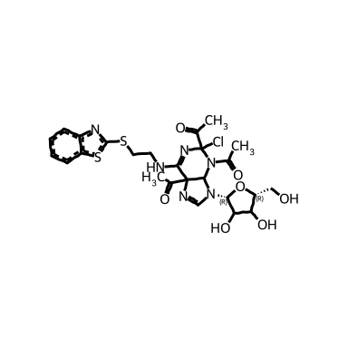 CC(=O)N1C2N([C@@H]3O[C@H](CO)C(O)C3O)C=NC2(C(C)=O)C(NCCSc2nc3ccccc3s2)=NC1(Cl)C(C)=O